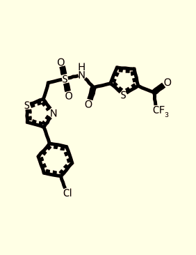 O=C(NS(=O)(=O)Cc1nc(-c2ccc(Cl)cc2)cs1)c1ccc(C(=O)C(F)(F)F)s1